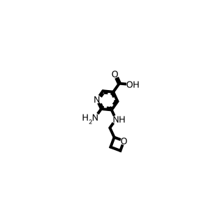 Nc1ncc(C(=O)O)cc1NCC1CCO1